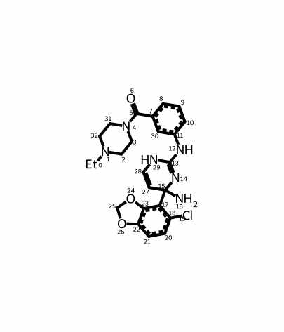 CCN1CCN(C(=O)c2cccc(NC3=NC(N)(c4c(Cl)ccc5c4OCO5)C=CN3)c2)CC1